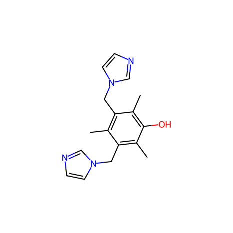 Cc1c(O)c(C)c(Cn2ccnc2)c(C)c1Cn1ccnc1